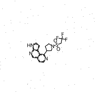 O=S(=O)(CC(F)(F)F)N1CCC(c2nccc3cnc4[nH]ccc4c23)C1